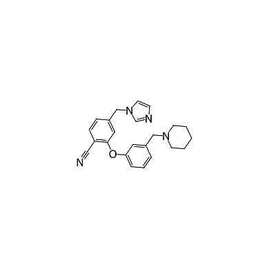 N#Cc1ccc(Cn2ccnc2)cc1Oc1cccc(CN2CCCCC2)c1